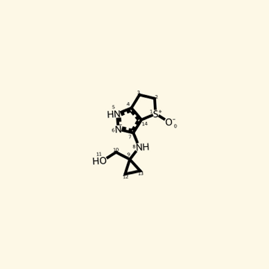 [O-][S+]1CCc2[nH]nc(NC3(CO)CC3)c21